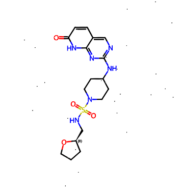 O=c1ccc2cnc(NC3CCN(S(=O)(=O)NC[C@H]4CCCO4)CC3)nc2[nH]1